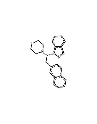 c1ccc2cc(CC(N3CCOCC3)n3ncc4ccccc43)ccc2c1